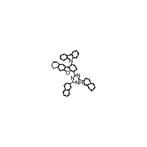 C1=Cc2cc3c(cc2CC1)oc1c(C2=NC(c4ccc5ccccc5c4)NC(c4ccc5ccccc5c4)=N2)ccc(-n2c4ccccc4c4ccccc42)c13